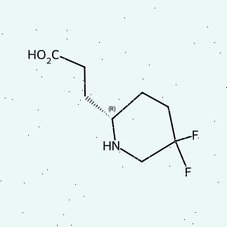 O=C(O)CC[C@@H]1CCC(F)(F)CN1